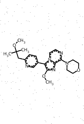 COc1nc2c(N3CCOCC3)nccn2c1-c1ccc(CC(C)(C)OC)nc1